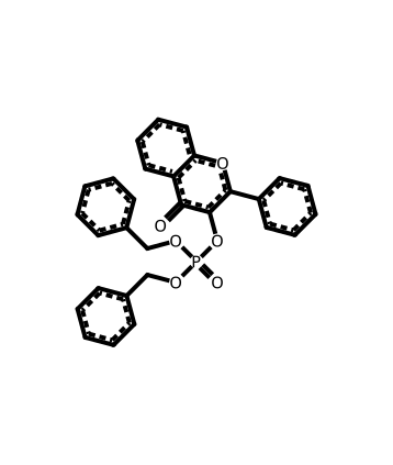 O=c1c(OP(=O)(OCc2ccccc2)OCc2ccccc2)c(-c2ccccc2)oc2ccccc12